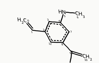 C=Cc1cc(NC)cc(C(=C)C)c1